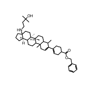 CC1C(C2=CCC(C(=O)OCc3ccccc3)CC2)=CCC2(C)C1CC[C@]1(C)C2CCC2[C@H]3CCCC3(NCCC(C)(C)O)CC[C@]21C